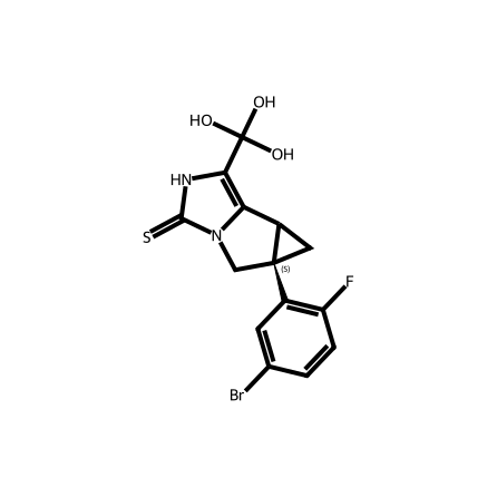 OC(O)(O)c1[nH]c(=S)n2c1C1C[C@]1(c1cc(Br)ccc1F)C2